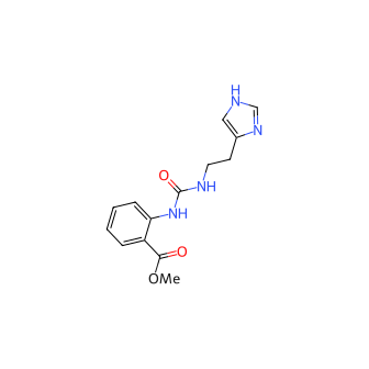 COC(=O)c1ccccc1NC(=O)NCCc1c[nH]cn1